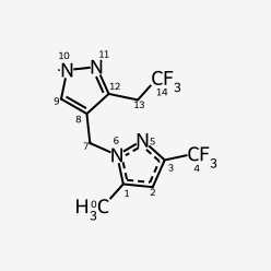 Cc1cc(C(F)(F)F)nn1CC1=C[N]N=C1CC(F)(F)F